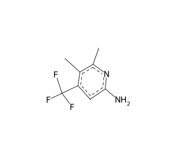 Cc1nc(N)cc(C(F)(F)F)c1C